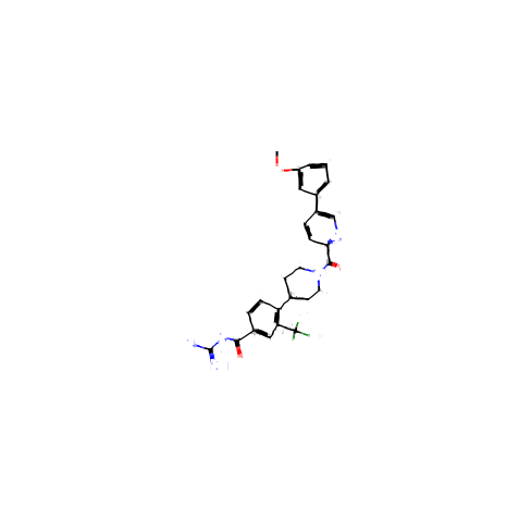 COc1cccc(-c2ccc(C(=O)N3CCC(c4ccc(C(=O)NC(=N)N)cc4C(F)(F)F)CC3)nc2)c1